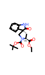 CCOC(=O)[C@@H]1C[C@@]2(CN1C(=O)OC(C)(C)C)C(=O)Nc1ccccc12